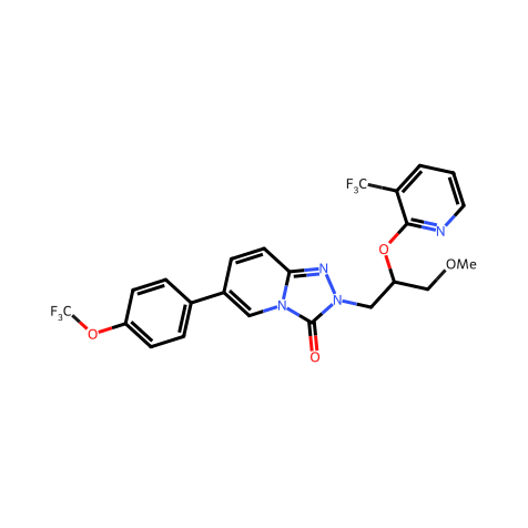 COCC(Cn1nc2ccc(-c3ccc(OC(F)(F)F)cc3)cn2c1=O)Oc1ncccc1C(F)(F)F